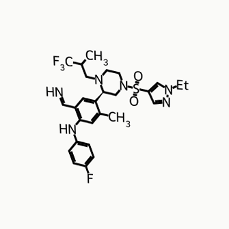 CCn1cc(S(=O)(=O)N2CCN(CC(C)C(F)(F)F)[C@H](c3cc(C=N)c(Nc4ccc(F)cc4)cc3C)C2)cn1